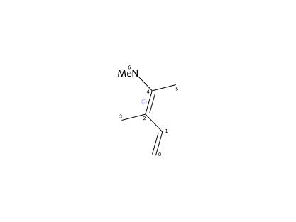 C=C/C(C)=C(\C)NC